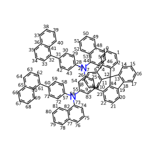 c1ccc2c(c1)-c1ccccc1C21c2ccccc2-c2cccc(-c3cc(N(c4ccc(-c5cccc6ccccc56)cc4)c4cccc5ccccc45)cc(N(c4ccc(-c5cccc6ccccc56)cc4)c4cccc5ccccc45)c3)c21